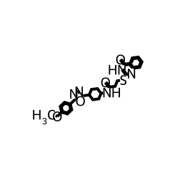 COc1ccc(-c2nnc(C3CCC(NC(=O)CCSc4nc5ccccc5c(=O)[nH]4)CC3)o2)cc1